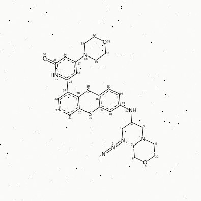 [N-]=[N+]=NCC(CN1CCOCC1)Nc1ccc2c(c1)Sc1cccc(-c3cc(N4CCOCC4)cc(=O)[nH]3)c1S2